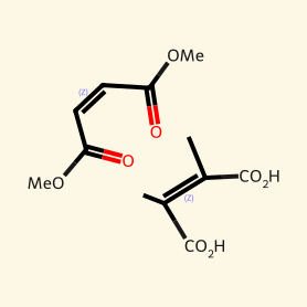 C/C(C(=O)O)=C(\C)C(=O)O.COC(=O)/C=C\C(=O)OC